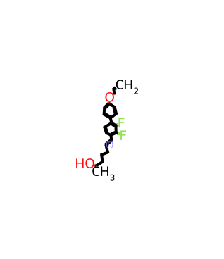 C=CCOc1ccc(-c2ccc(/C=C/CCCC(C)O)c(F)c2F)cc1